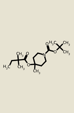 CCC(C)(C)C(=O)OC1(C)CCN(C(=O)OC(C)(C)C)CC1